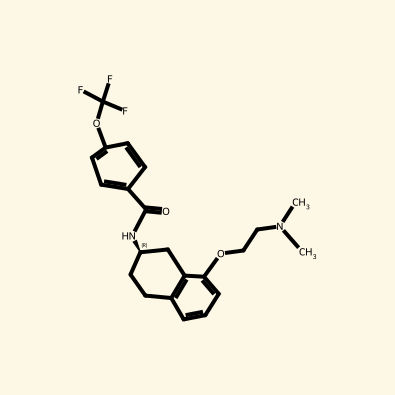 CN(C)CCOc1cccc2c1C[C@H](NC(=O)c1ccc(OC(F)(F)F)cc1)CC2